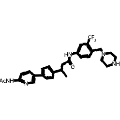 CC(=O)Nc1ccc(-c2ccc(C(C)CC(=O)Nc3ccc(CN4CCNCC4)c(C(F)(F)F)c3)cc2)cn1